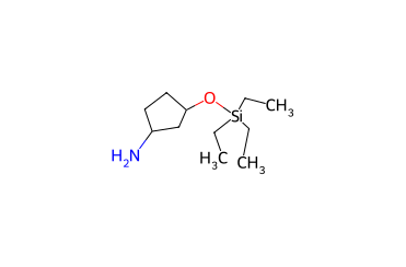 CC[Si](CC)(CC)OC1CCC(N)C1